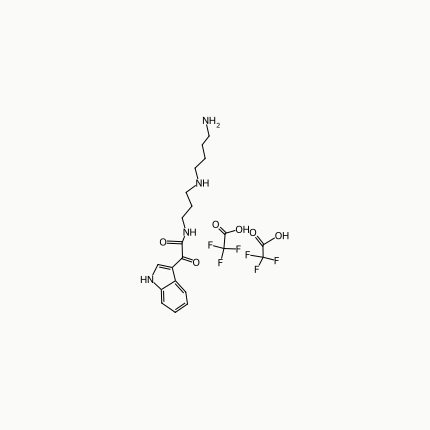 NCCCCNCCCNC(=O)C(=O)c1c[nH]c2ccccc12.O=C(O)C(F)(F)F.O=C(O)C(F)(F)F